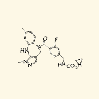 C1CC1.Cc1ccc2c(c1)Nc1c(cnn1C)CN2C(=O)c1ccc(CNC(=O)O)cc1F